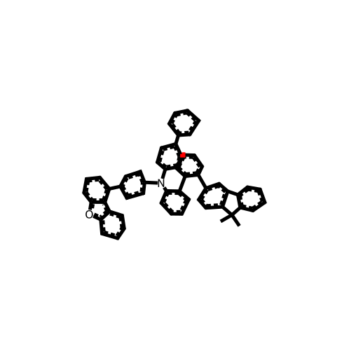 CC1(C)c2ccccc2-c2cc(-c3ccccc3-c3ccccc3N(c3ccc(-c4ccccc4)cc3)c3ccc(-c4cccc5oc6ccccc6c45)cc3)ccc21